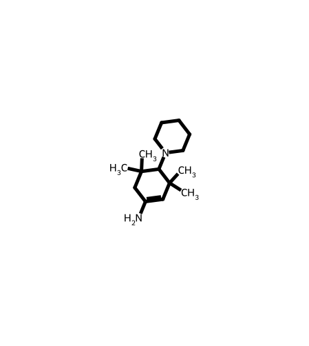 CC1(C)C=C(N)CC(C)(C)C1N1CCCCC1